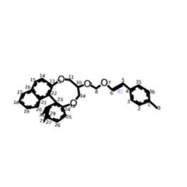 Cc1ccc(/C=C/OCOC2COc3ccc4ccccc4c3-c3c(ccc4ccccc34)OC2)cc1